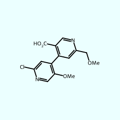 COCc1cc(-c2cc(Cl)ncc2OC)c(C(=O)O)cn1